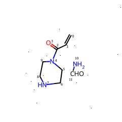 C=CC(=O)N1CCNCC1.NC=O